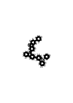 c1ccc(-c2ccc3oc4cc(-n5c6ccccc6c6ccc(-c7ccc8c(c7)c7ccccc7n8-c7ccccc7)cc65)ccc4c3c2)cc1